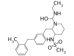 CCNC(O)N1CCCC(NS(C)(=O)=O)C1Cc1cccc(Cc2ccccc2C)c1